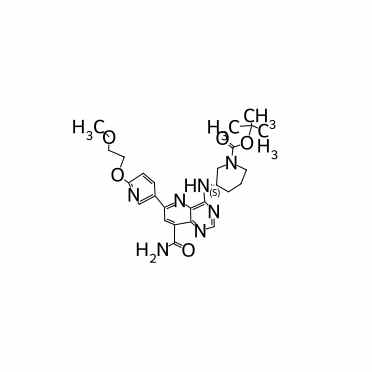 COCCOc1ccc(-c2cc(C(N)=O)c3ncnc(N[C@H]4CCCN(C(=O)OC(C)(C)C)C4)c3n2)cn1